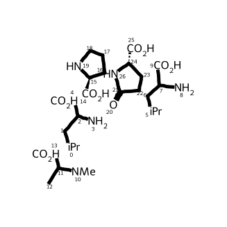 CC(C)CC(N)C(=O)O.CC(C)CC(N)C(=O)O.CNC(C)C(=O)O.O=C(O)[C@@H]1CCCN1.O=C1CC[C@@H](C(=O)O)N1